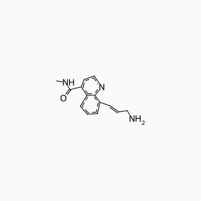 CNC(=O)c1ccnc2c(C=CCN)cccc12